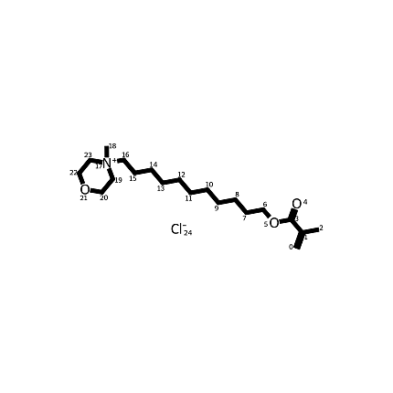 C=C(C)C(=O)OCCCCCCCCCCC[N+]1(C)CCOCC1.[Cl-]